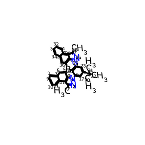 Cc1nn2c3c(cc4ccccc4c13)B1c3c-2cc(C(C)(C)C)cc3-n2nc(C)c3c4ccccc4cc1c32